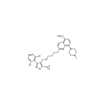 CN1CCN(c2ccc(C(=O)O)c3ccc(CCCCOCc4c(-c5c(Cl)cncc5Cl)noc4C4CC4)nc23)CC1